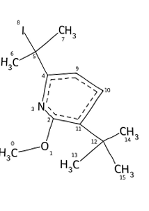 COc1nc(C(C)(C)I)ccc1C(C)(C)C